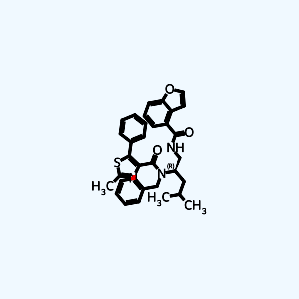 Cc1nc(C(=O)N(Cc2ccccc2)[C@@H](CNC(=O)c2cccc3occc23)CC(C)C)c(-c2ccccc2)s1